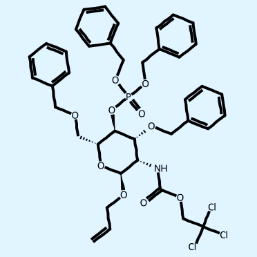 C=CCO[C@H]1O[C@H](COCc2ccccc2)[C@@H](OP(=O)(OCc2ccccc2)OCc2ccccc2)[C@H](OCc2ccccc2)[C@@H]1NC(=O)OCC(Cl)(Cl)Cl